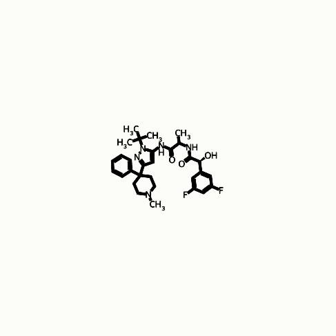 CC(NC(=O)[C@@H](O)c1cc(F)cc(F)c1)C(=O)Nc1cc(C2(c3ccccc3)CCN(C)CC2)nn1C(C)(C)C